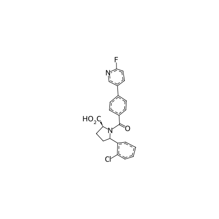 O=C(O)[C@@H]1CCC(c2ccccc2Cl)N1C(=O)c1ccc(-c2ccc(F)nc2)cc1